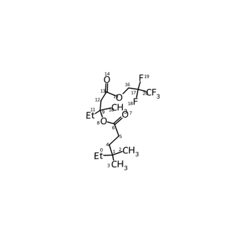 CCC(C)(C)CCC(=O)OC(C)(CC)CC(=O)OCC(F)(F)C(F)(F)F